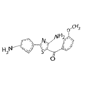 COc1cccc(C(=O)c2sc(-c3ccc(N)cc3)nc2N)c1